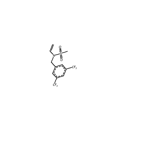 C=CN(Cc1cc(C(F)(F)F)cc(C(F)(F)F)c1)S(C)(=O)=O